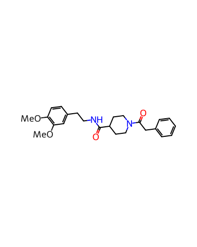 COc1ccc(CCNC(=O)C2CCN(C(=O)Cc3ccccc3)CC2)cc1OC